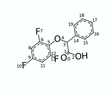 O=C(O)C(Oc1c(F)cc(F)cc1F)c1ccccc1